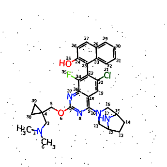 CN(C)CC1(COc2nc(N3CC4CCC(C3)N4)c3cc(Cl)c(-c4c(O)ccc5ccccc45)c(F)c3n2)CC1